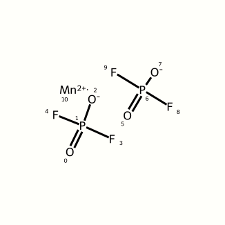 O=P([O-])(F)F.O=P([O-])(F)F.[Mn+2]